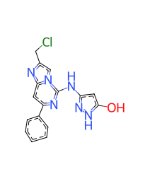 Oc1cc(Nc2nc(-c3ccccc3)cc3nc(CCl)cn23)n[nH]1